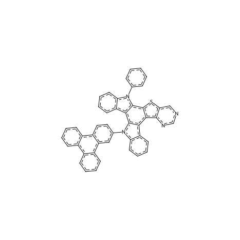 c1ccc(-n2c3ccccc3c3c2c2sc4cncnc4c2c2c4ccccc4n(-c4ccc5c6ccccc6c6ccccc6c5c4)c23)cc1